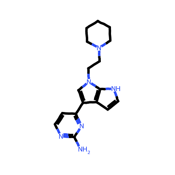 Nc1nccc(-c2cn(CCN3CCCCC3)c3[nH]ccc23)n1